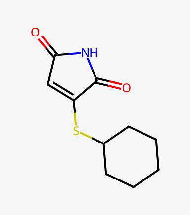 O=C1C=C(SC2CCCCC2)C(=O)N1